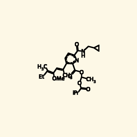 CC/C(C)=C(/C=C(\C)c1ccc(C(=O)NCC2CC2)nc1C(=O)OC(C)OC(=O)C(C)C)OC